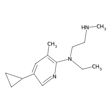 CCN(CCNC)c1ncc(C2CC2)cc1C